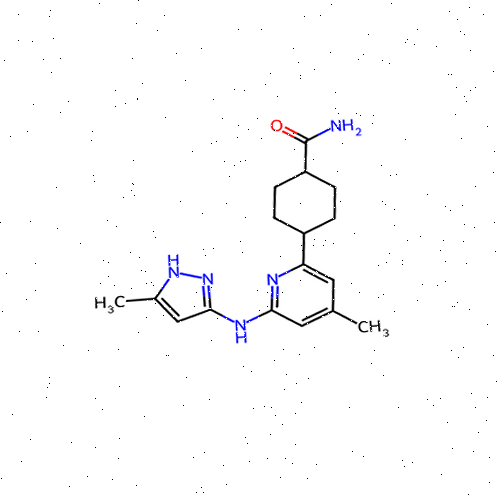 Cc1cc(Nc2cc(C)[nH]n2)nc(C2CCC(C(N)=O)CC2)c1